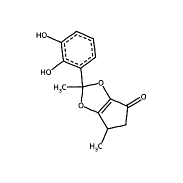 CC1CC(=O)C2=C1OC(C)(c1cccc(O)c1O)O2